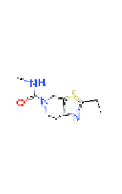 CCc1nc2c(s1)CN(C(=O)NC)CC2